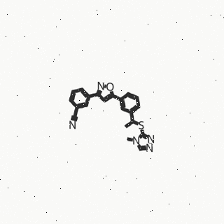 CC(Sc1nncn1C)c1cccc(-c2cc(-c3cccc(C#N)c3)no2)c1